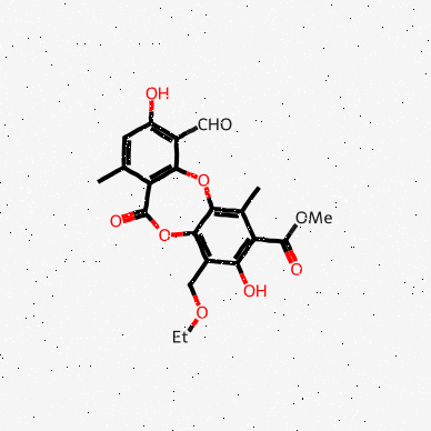 CCOCc1c(O)c(C(=O)OC)c(C)c2c1OC(=O)c1c(C)cc(O)c(C=O)c1O2